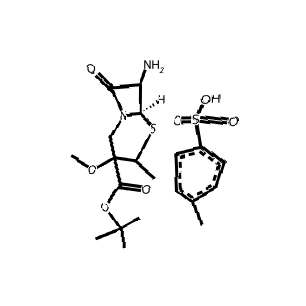 COC1(C(=O)OC(C)(C)C)CN2C(=O)C(N)[C@H]2SC1C.Cc1ccc(S(=O)(=O)O)cc1